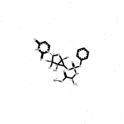 CC[C@H](C)OC(=O)[C@H](C)NP(=O)(Oc1ccccc1)OC1[C@H]2O[C@@H](n3ccc(=O)[nH]c3=O)[C@@](F)(Cl)[C@@]12O